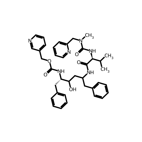 CC(C)[C@H](NC(=O)N(C)Cc1ccccn1)C(=O)NC(Cc1ccccc1)CC(O)[C@H](Cc1ccccc1)NC(=O)OCc1cccnc1